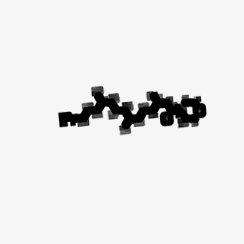 CC(=CC(=O)N1CCOCC1)CCCC(C)CCCC(C)CCCC(C)C